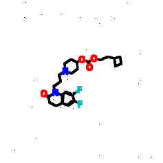 O=C(OCCC1CCC1)OC1CCN(CCCN2C(=O)CCc3cc(F)c(F)cc32)CC1